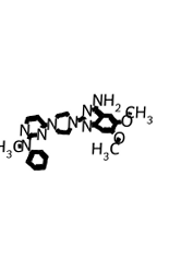 COc1cc2nc(N3CCN(c4ccnc(N(C)c5ccccc5)n4)CC3)nc(N)c2cc1OC